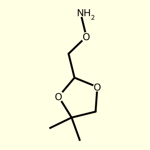 CC1(C)COC(CON)O1